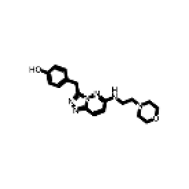 Oc1ccc(Cc2nnc3ccc(NCCN4CCOCC4)nn23)cc1